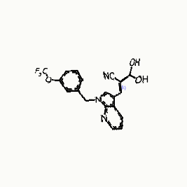 N#C/C(=C\c1cn(Cc2cccc(OC(F)(F)F)c2)c2ncccc12)C(O)O